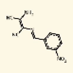 N#C/C(N)=C(\C#N)N=Cc1cccc([N+](=O)[O-])c1